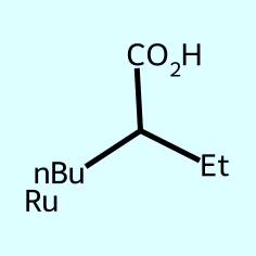 CCCCC(CC)C(=O)O.[Ru]